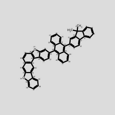 CC1(C)c2ccccc2-c2ccc(-c3c4ccccc4c(-c4ccc5c(c4)oc4ccc6cc7oc8ccccc8c7cc6c45)c4ccccc34)cc21